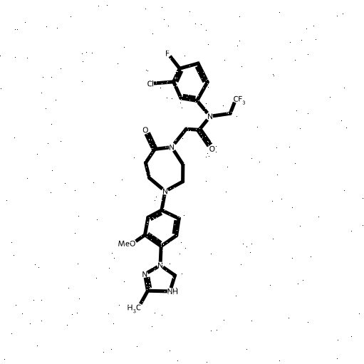 COc1cc(N2CCC(=O)N(CC(=O)N(CC(F)(F)F)c3ccc(F)c(Cl)c3)CC2)ccc1N1CNC(C)=N1